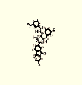 CCc1cccc(CNC[C@@H](O)[C@H](Cc2cc(F)cc(F)c2)NC(=O)c2ccc3c(c2)C(=O)N(CC(C)C)C3=O)c1